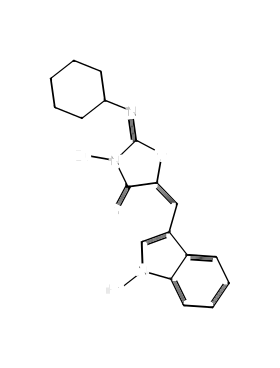 CCN1C(=O)/C(=C\c2cn(C(C)C)c3ccccc23)O/C1=N/C1CCCCC1